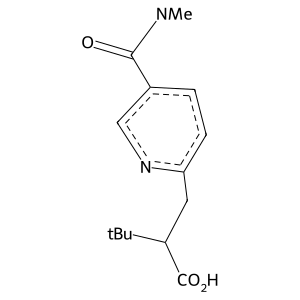 CNC(=O)c1ccc(CC(C(=O)O)C(C)(C)C)nc1